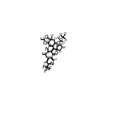 CC(=O)O[C@H]1c2nc(C(C)C)c3c(c2[C@@H](O[Si](C)(C)C(C)(C)C)CC1(C)C)C1(CCCC1)O[C@@H]3c1ccc(C(F)(F)F)nc1